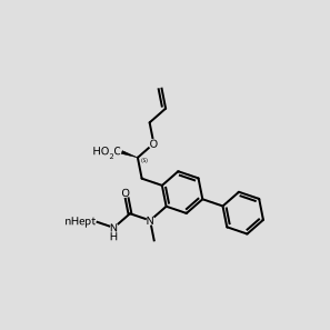 C=CCO[C@@H](Cc1ccc(-c2ccccc2)cc1N(C)C(=O)NCCCCCCC)C(=O)O